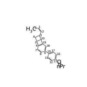 C/C=C\C1CC2c3ccc(-c4ccc(OCCC)cc4)cc3C12